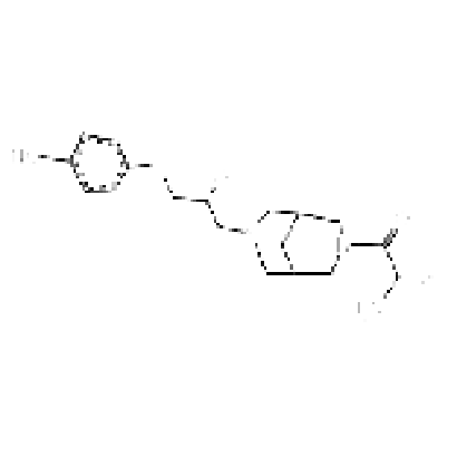 CC(C)[C@H](N)C(=O)N1CC2CC(CN(C[C@H](O)COc3ccc(C#N)cc3)C2)C1